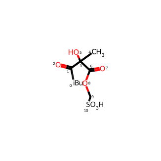 CCC(C)C(=O)C(C)(O)C(=O)OCS(=O)(=O)O